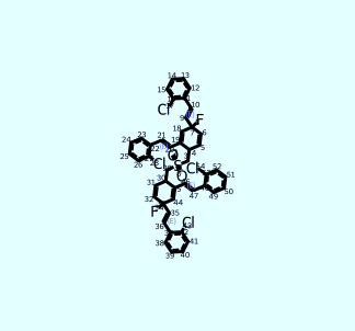 O=S(=O)(CC1C=CC(F)(/C=C/c2ccccc2Cl)C=C1/C=C/c1ccccc1Cl)CC1C=CC(F)(/C=C/c2ccccc2Cl)C=C1/C=C/c1ccccc1Cl